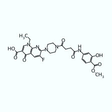 CCn1cc(C(=O)O)c(=O)c2cc(F)c(N3CCN(C(=O)CCC(=O)Nc4ccc(C(=O)OC)c(O)c4)CC3)nc21